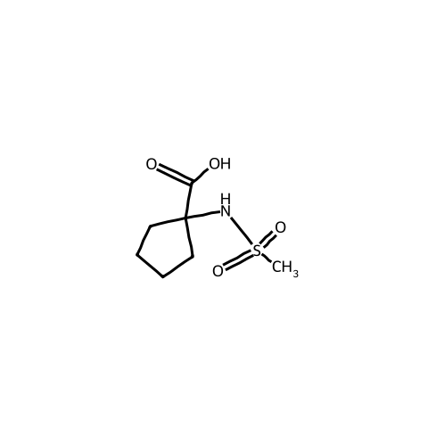 CS(=O)(=O)NC1(C(=O)O)CCCC1